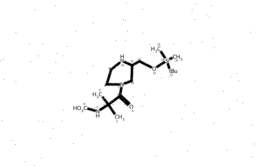 CC(C)(NC(=O)O)C(=O)N1CCNC(CO[Si](C)(C)C(C)(C)C)C1